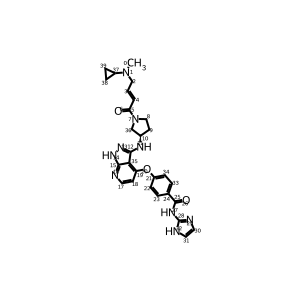 CN(CC=CC(=O)N1CC[C@@H](Nc2n[nH]c3nccc(Oc4ccc(C(=O)Nc5ncc[nH]5)cc4)c23)C1)C1CC1